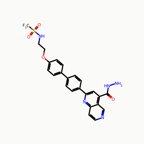 NNC(=O)c1cc(-c2ccc(-c3ccc(OCCNS(=O)(=O)C(F)(F)F)cc3)cc2)nc2ccncc12